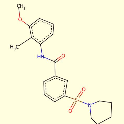 COc1cccc(NC(=O)c2cccc(S(=O)(=O)N3CCCCC3)c2)c1C